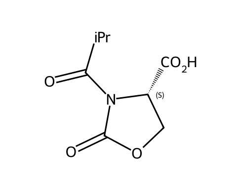 CC(C)C(=O)N1C(=O)OC[C@H]1C(=O)O